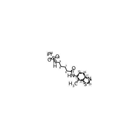 Cc1c(NC(=O)CCCCNS(=O)(=O)C(C)C)ccc2ncsc12